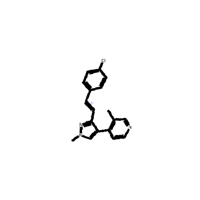 Cc1cnccc1-c1cn(C)nc1/C=C/c1ccc(Cl)cc1